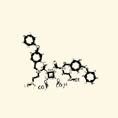 CCSCCN(Cc1ccc(Oc2ccccc2)cc1)C(=O)[C@@H]1[C@H](OC(=O)O)[C@@H](OC(=O)O)[C@H]1C(=O)N(CCSCC)Cc1ccc(Oc2ccccc2)cc1